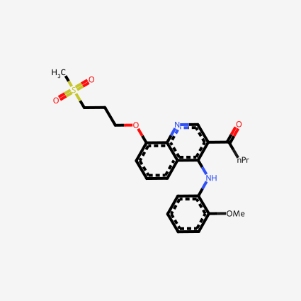 CCCC(=O)c1cnc2c(OCCCS(C)(=O)=O)cccc2c1Nc1ccccc1OC